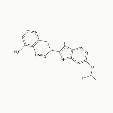 COc1c(C)ccnc1C[S+]([O-])c1nc2cc(OC(F)F)ccc2[nH]1